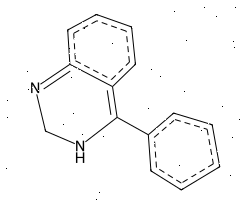 c1ccc(C2=c3ccccc3=NCN2)cc1